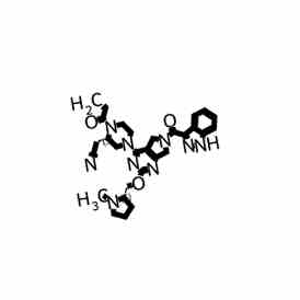 C=CC(=O)N1CCN(c2nc(OC[C@@H]3CCCN3C)nc3c2CN(C(=O)c2n[nH]c4ccccc24)C3)C[C@@H]1CC#N